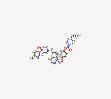 CCOC(=O)C1CCN(C(=O)Oc2ccc3c(c2)/C(=C/CCN2CCC(O)(c4ccc(Cl)cc4)CC2)c2cccnc2CO3)CC1